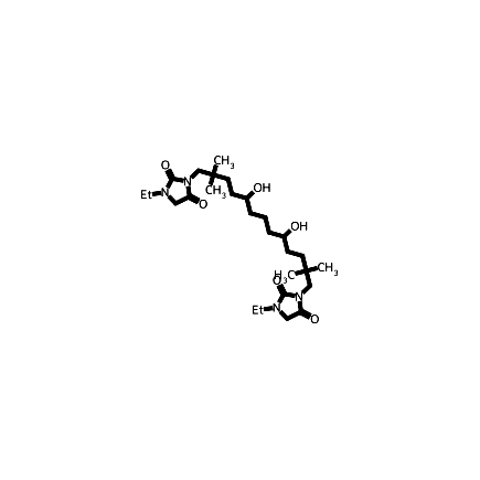 CCN1CC(=O)N(CC(C)(C)CCC(O)CCCC(O)CCC(C)(C)CN2C(=O)CN(CC)C2=O)C1=O